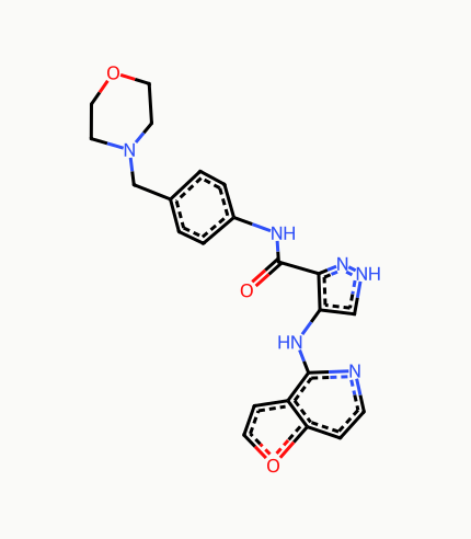 O=C(Nc1ccc(CN2CCOCC2)cc1)c1n[nH]cc1Nc1nccc2occc12